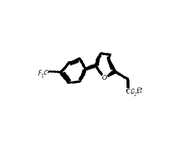 CCOC(=O)Cc1ccc(-c2ccc(C(F)(F)F)cc2)o1